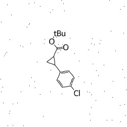 CC(C)(C)OC(=O)C1CC1c1ccc(Cl)cc1